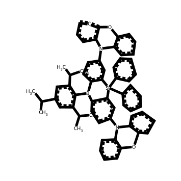 CC(C)c1cc(C(C)C)c(B2c3ccc(N4c5ccccc5Oc5ccccc54)cc3[Si](c3ccccc3)(c3ccccc3)c3cc(N4c5ccccc5Oc5ccccc54)ccc32)c(C(C)C)c1